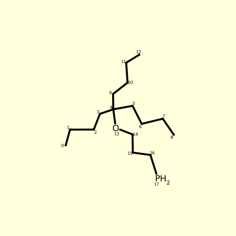 CCCCC(CCCC)(CCCC)OCCCP